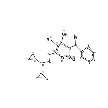 CCC(c1ccccc1)c1c(O)c(Br)c(CCC(C2CC2)C2CC2)oc1=O